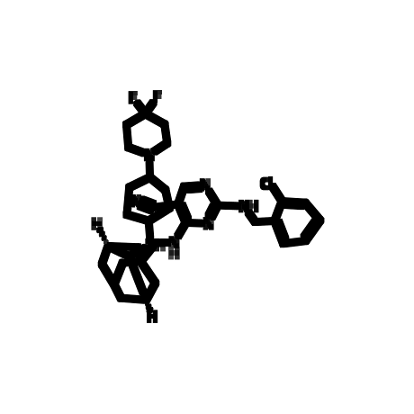 N#Cc1cnc(NCc2ccccc2Cl)nc1NCC12CC3C[C@H](C1)C(NC1CCC(N4CCC(F)(F)CC4)CC1)[C@@H](C3)C2